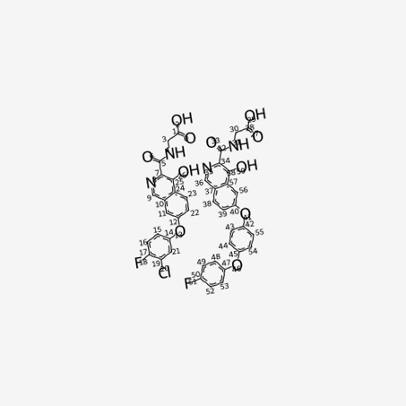 O=C(O)CNC(=O)c1ncc2cc(Oc3ccc(F)c(Cl)c3)ccc2c1O.O=C(O)CNC(=O)c1ncc2ccc(Oc3ccc(Oc4ccc(F)cc4)cc3)cc2c1O